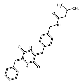 CN(C)CC(=O)NCc1ccc(/C=c2\[nH]c(=O)/c(=C/c3ccccc3)[nH]c2=O)cc1